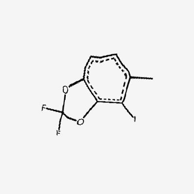 Cc1ccc2c(c1I)OC(F)(F)O2